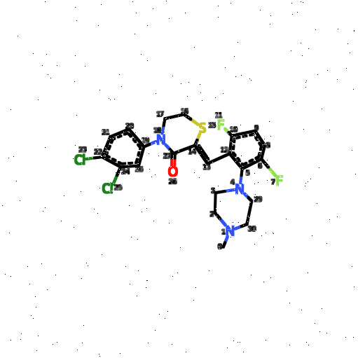 CN1CCN(c2c(F)ccc(F)c2C=C2SCCN(c3ccc(Cl)c(Cl)c3)C2=O)CC1